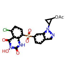 CC(=O)OC1CC1n1ncc2ccc(S(=O)(=O)c3ccc(Cl)c4c(=O)n(O)c(=O)[nH]c34)cc21